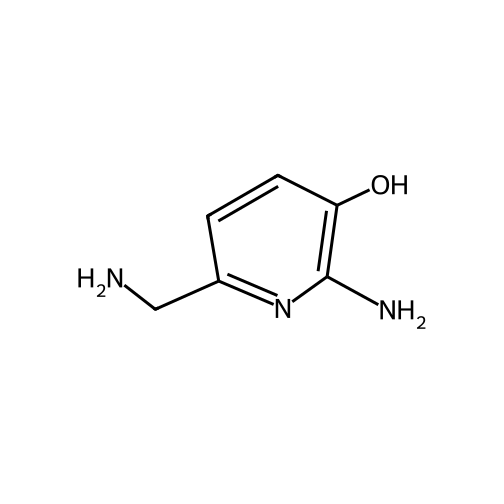 NCc1ccc(O)c(N)n1